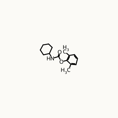 Cc1cccc(C)c1OC(=O)NC1CCCCC1